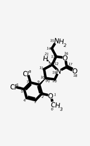 COc1ccc(Cl)c(Cl)c1[C@H]1C[C@H]2C(CN)OC(=O)N2C1